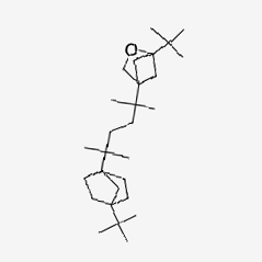 CC(C)(C)C12CCC(C(C)(C)CCC(C)(C)C34COC(C(C)(C)C)(C3)C4)(CC1)C2